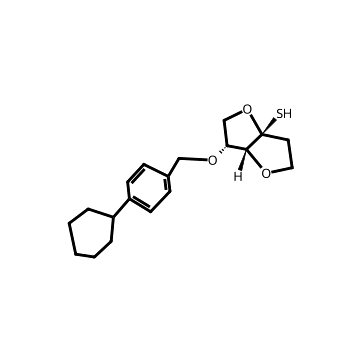 S[C@@]12CCO[C@@H]1[C@H](OCc1ccc(C3CCCCC3)cc1)CO2